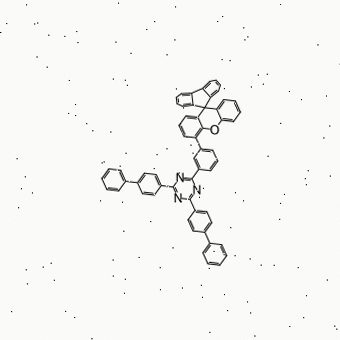 c1ccc(-c2ccc(-c3nc(-c4ccc(-c5ccccc5)cc4)nc(-c4cccc(-c5cccc6c5Oc5ccccc5C65c6ccccc6-c6ccccc65)c4)n3)cc2)cc1